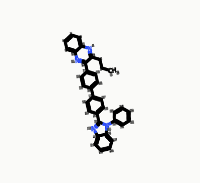 CCCc1nc2ccccc2nc1-c1ccc(-c2ccc(-c3nc4ccccc4n3-c3ccccc3)cc2)cc1